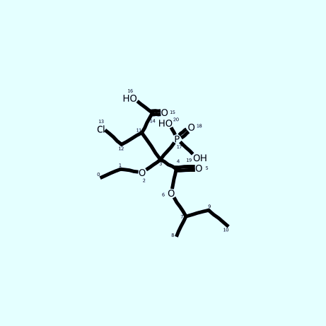 CCOC(C(=O)OC(C)CC)(C(CCl)C(=O)O)P(=O)(O)O